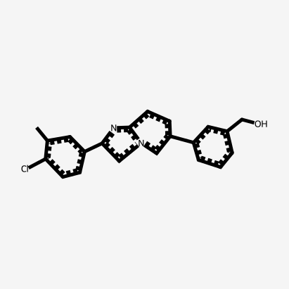 Cc1cc(-c2cn3cc(-c4cccc(CO)c4)ccc3n2)ccc1Cl